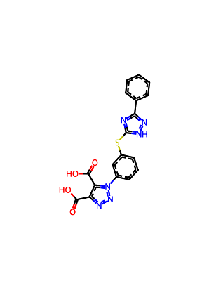 O=C(O)c1nnn(-c2cccc(Sc3nc(-c4ccccc4)n[nH]3)c2)c1C(=O)O